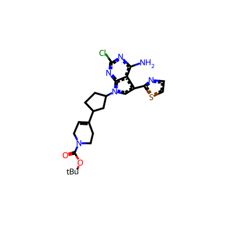 CC(C)(C)OC(=O)N1CC=C(C2CCC(n3cc(-c4nccs4)c4c(N)nc(Cl)nc43)C2)CC1